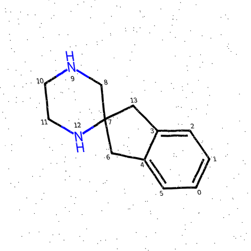 c1ccc2c(c1)CC1(CNCCN1)C2